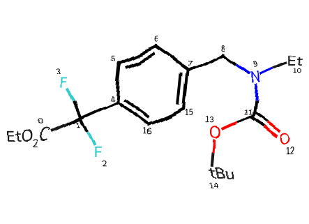 CCOC(=O)C(F)(F)c1ccc(CN(CC)C(=O)OC(C)(C)C)cc1